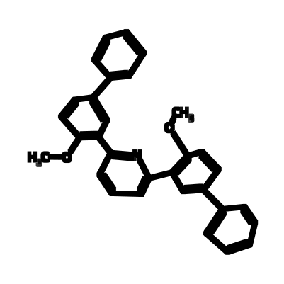 COc1ccc(-c2ccccc2)cc1-c1cccc(-c2cc(-c3ccccc3)ccc2OC)n1